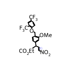 CCOC(=O)CC(/C=C/[N+](=O)[O-])c1ccc(COc2ccc(C(F)(F)F)cc2C(F)(F)F)c(OC)c1